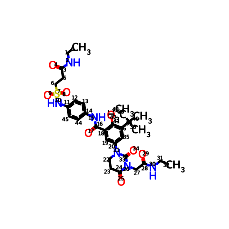 CCNC(=O)CCS(=O)(=O)Nc1ccc(NC(=O)c2cc(N3CCC(=O)N(CC(=O)NCC)C3=O)cc(C(C)(C)C)c2OC)cc1